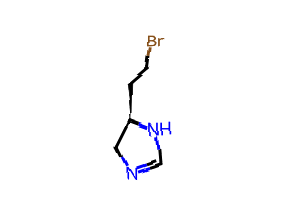 BrCC[C@@H]1CN=CN1